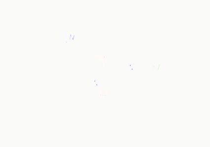 NCCOc1noc2ccc(Cl)nc12